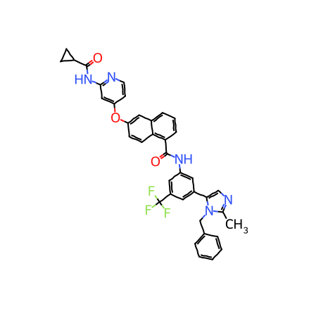 Cc1ncc(-c2cc(NC(=O)c3cccc4cc(Oc5ccnc(NC(=O)C6CC6)c5)ccc34)cc(C(F)(F)F)c2)n1Cc1ccccc1